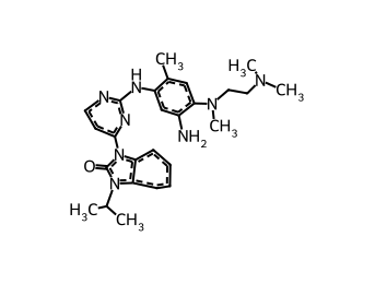 Cc1cc(N(C)CCN(C)C)c(N)cc1Nc1nccc(-n2c(=O)n(C(C)C)c3ccccc32)n1